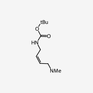 CNC/C=C\CNC(=O)OC(C)(C)C